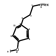 CCCCCCCCCc1ccc(OI)cc1